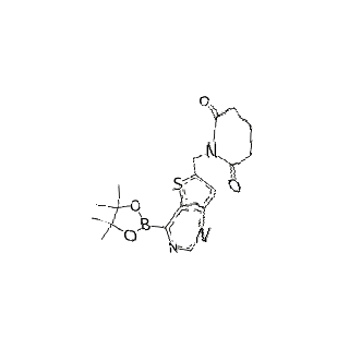 CC1(C)OB(c2ncnc3cc(CN4C(=O)CCCC4=O)sc23)OC1(C)C